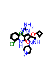 CN1CCC(N2CC(OC3CCC3)(c3nc(N)ncc3C(=O)Nc3c(Cl)cccc3Cl)CN2)CC1